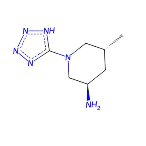 C[C@@H]1C[C@@H](N)CN(c2nnn[nH]2)C1